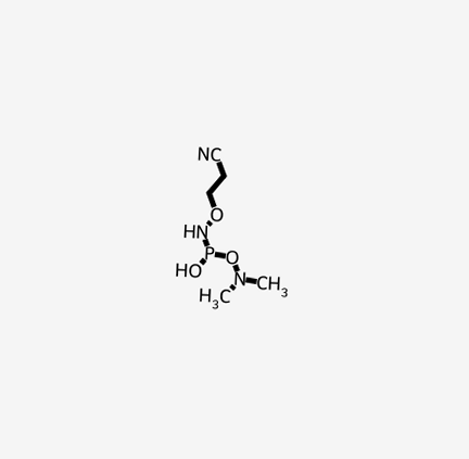 CN(C)OP(O)NOCCC#N